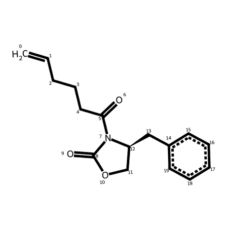 C=CCCCC(=O)N1C(=O)OC[C@@H]1Cc1ccccc1